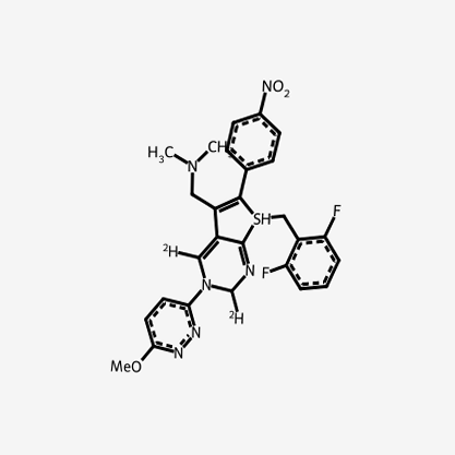 [2H]C1=C2C(=NC([2H])N1c1ccc(OC)nn1)[SH](Cc1c(F)cccc1F)C(c1ccc([N+](=O)[O-])cc1)=C2CN(C)C